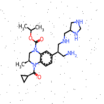 CC(C)OC(=O)N1C[C@H](C)N(C(=O)C2CC2)c2ccc(C(CN)CNCC3CNCN3)cc21